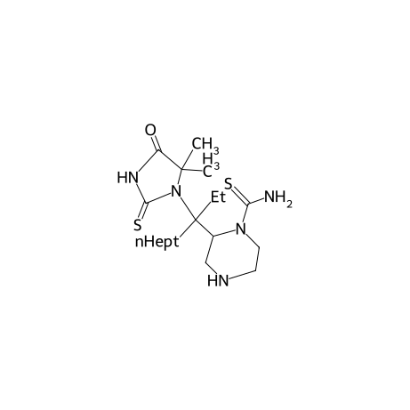 CCCCCCCC(CC)(C1CNCCN1C(N)=S)N1C(=S)NC(=O)C1(C)C